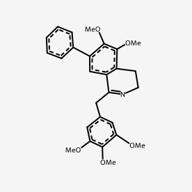 COc1cc(CC2=NCCc3c2cc(-c2ccccc2)c(OC)c3OC)cc(OC)c1OC